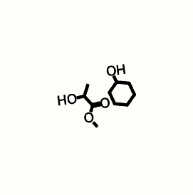 COC(=O)C(C)O.OC1CCCCC1